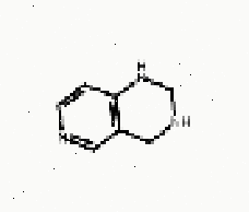 c1cc2c(cn1)CNCN2